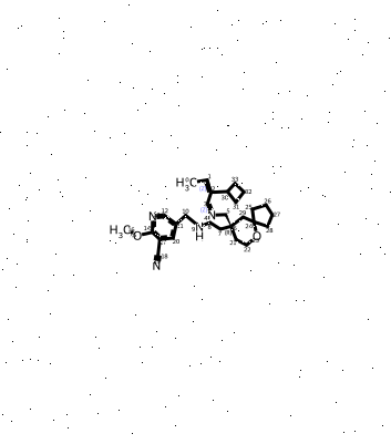 C/C=C(\C=N/C[C@]1(CCNCc2cnc(OC)c(C#N)c2)CCOC2(CCCC2)C1)C1CCC1